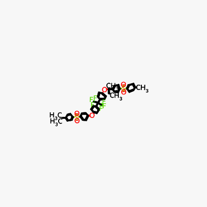 CCC(C)(Oc1ccc(C(c2ccc(Oc3ccc(S(=O)(=O)c4ccc(C(C)C)cc4)cc3)cc2)(C(F)(F)F)C(F)(F)F)cc1)c1ccc(S(=O)(=O)c2ccc(C)cc2)cc1